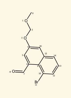 COCOc1cc(C=O)c2c(Br)cccc2c1